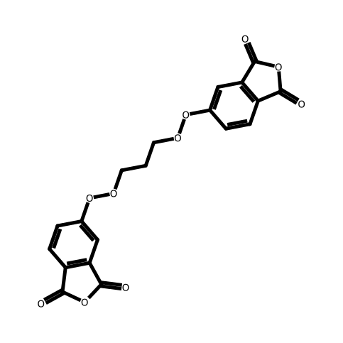 O=C1OC(=O)c2cc(OOCCCOOc3ccc4c(c3)C(=O)OC4=O)ccc21